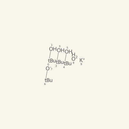 CC(C)(C)O.CC(C)(C)O.CC(C)(C)O.CC(C)(C)[O-].O.[K+]